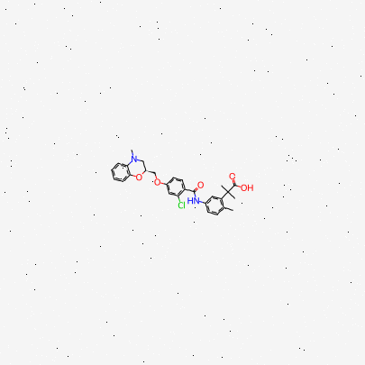 Cc1ccc(NC(=O)c2ccc(OC[C@@H]3CN(C)c4ccccc4O3)cc2Cl)cc1C(C)(C)C(=O)O